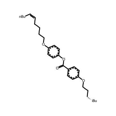 CCCC/C=C\CCCCOc1ccc(OC(=O)c2ccc(OCCC[C@@H](C)CC)cc2)cc1